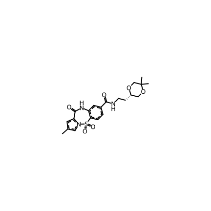 Cc1cc2n(c1)S(=O)(=O)c1ccc(C(=O)NCC[C@H]3COC(C)(C)CO3)cc1NC2=O